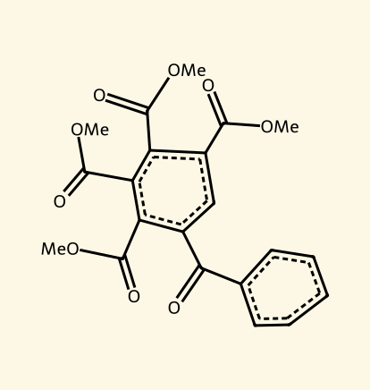 COC(=O)c1cc(C(=O)c2ccccc2)c(C(=O)OC)c(C(=O)OC)c1C(=O)OC